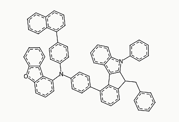 c1ccc(CC2c3cccc(-c4ccc(N(c5ccc(-c6cccc7ccccc67)cc5)c5cccc6oc7ccccc7c56)cc4)c3-c3c2n(-c2ccccc2)c2ccccc32)cc1